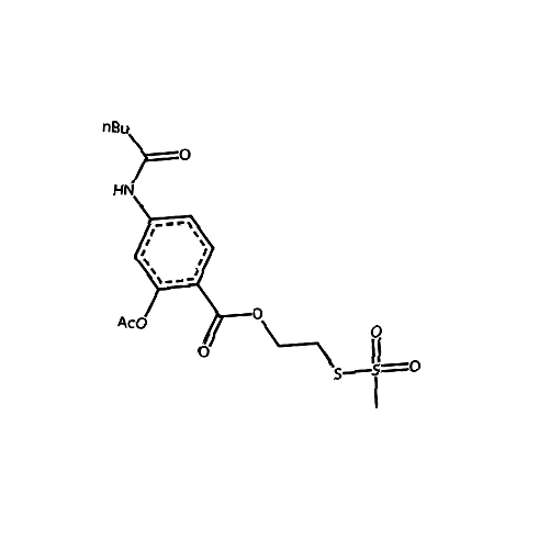 CCCCC(=O)Nc1ccc(C(=O)OCCSS(C)(=O)=O)c(OC(C)=O)c1